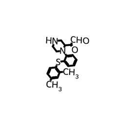 Cc1ccc(Sc2ccccc2N2CCNCC2C(=O)C=O)c(C)c1